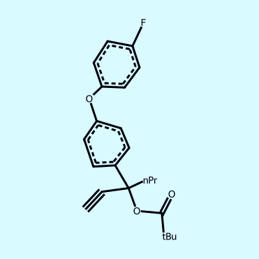 C#CC(CCC)(OC(=O)C(C)(C)C)c1ccc(Oc2ccc(F)cc2)cc1